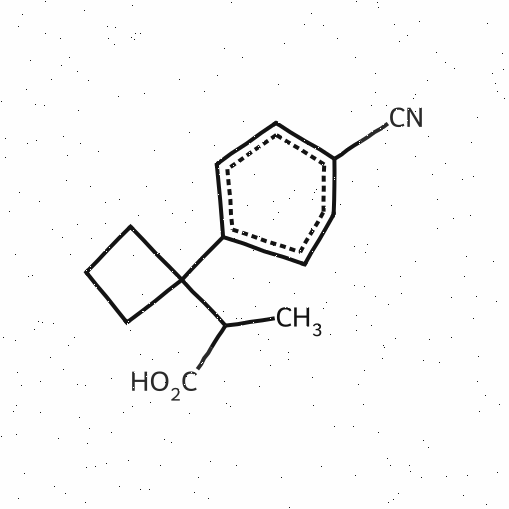 CC(C(=O)O)C1(c2ccc(C#N)cc2)CCC1